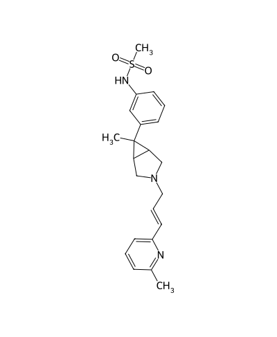 Cc1cccc(/C=C/CN2CC3C(C2)C3(C)c2cccc(NS(C)(=O)=O)c2)n1